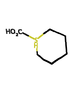 O=C(O)[SH]1CCCCC1